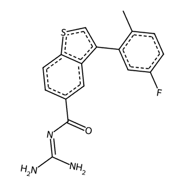 Cc1ccc(F)cc1-c1csc2ccc(C(=O)N=C(N)N)cc12